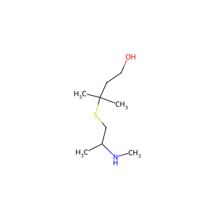 CNC(C)CSC(C)(C)CCO